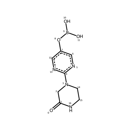 O=C1CN(c2ncc(OB(O)O)cn2)CCN1